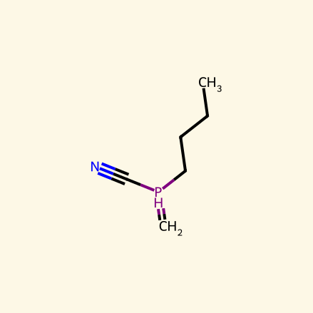 C=[PH](C#N)CCCC